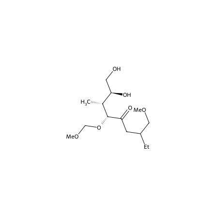 CCC(COC)CC(=O)[C@H](OCOC)[C@H](C)[C@H](O)CO